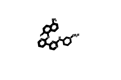 Nc1cccc2c(Oc3ncccc3-c3ccnc(NC4CCCN(C(=O)O)C4)n3)c(F)ccc12